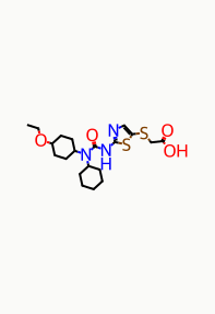 CCOC1CCC(N(C(=O)Nc2ncc(SCC(=O)O)s2)C2CCCCC2)CC1